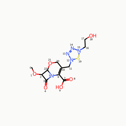 COC1C(=O)N2C(C(=O)O)=C(CN3N=NN(CCO)S3)COC12